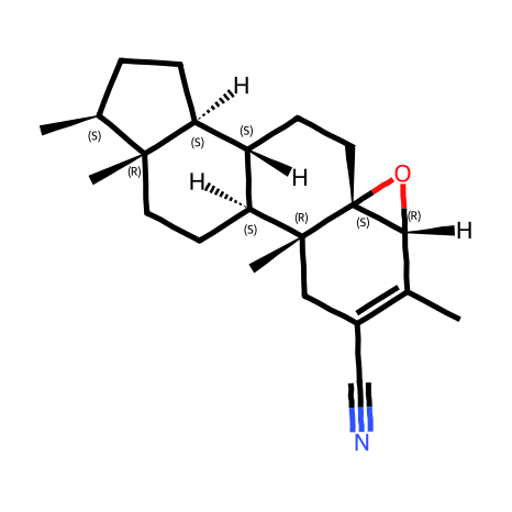 CC1=C(C#N)C[C@]2(C)[C@H]3CC[C@]4(C)[C@@H](C)CC[C@H]4[C@@H]3CC[C@]23O[C@H]13